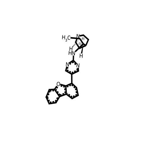 C[C@@H]1[C@@H](Nc2ncc(-c3cccc4c3oc3ccccc34)cn2)C2CCN1CC2